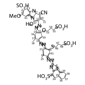 COc1cc(S(=O)(=O)O)c2nc3c(C#N)c(C)c(N=Nc4cc(C)c(N=Nc5cc(C)c(N=Nc6nc7c(S(=O)(=O)O)cc8ccccc8c7s6)cc5SCCCS(=O)(=O)O)cc4OCCCS(=O)(=O)O)c(O)n3c2c1